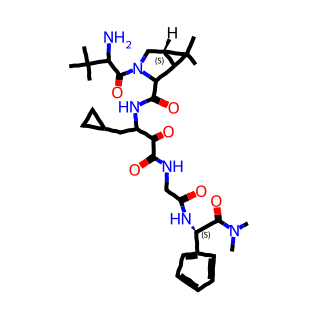 CN(C)C(=O)[C@@H](NC(=O)CNC(=O)C(=O)C(CC1CC1)NC(=O)C1C2[C@H](CN1C(=O)C(N)C(C)(C)C)C2(C)C)c1ccccc1